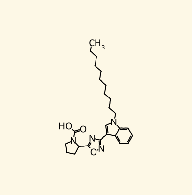 CCCCCCCCCCCn1cc(-c2noc(C3CCCN3C(=O)O)n2)c2ccccc21